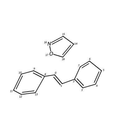 C(=Cc1ccccc1)c1ccccc1.c1cnoc1